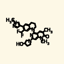 Cc1cc2c(N3CCCc4cc(-c5cnn(C)c5)c(C(F)F)cc43)nc(N3CCC(O)C3)cc2n(C)c1=O